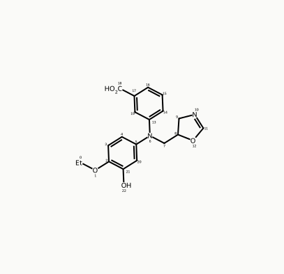 CCOc1ccc(N(CC2CN=CO2)c2cccc(C(=O)O)c2)cc1O